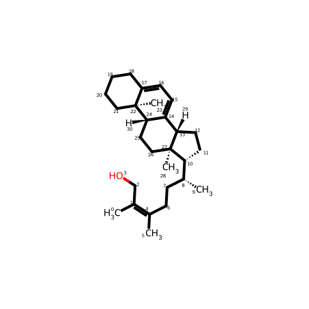 CC(CO)=C(C)CC[C@@H](C)[C@H]1CC[C@H]2C3=CC=C4CCCC[C@]4(C)[C@H]3CC[C@]12C